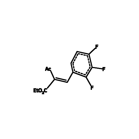 CCOC(=O)C(=Cc1ccc(F)c(F)c1F)C(C)=O